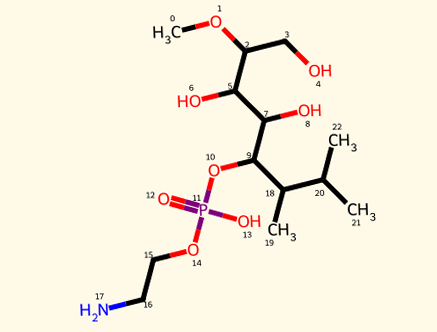 COC(CO)C(O)C(O)C(OP(=O)(O)OCCN)C(C)C(C)C